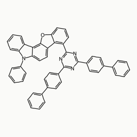 c1ccc(-c2ccc(-c3nc(-c4ccc(-c5ccccc5)cc4)nc(-c4cccc5oc6c(ccc7c6c6ccccc6n7-c6ccccc6)c45)n3)cc2)cc1